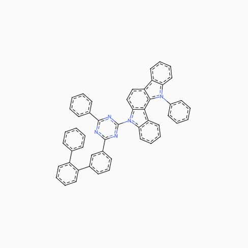 c1ccc(-c2nc(-c3cccc(-c4ccccc4-c4ccccc4)c3)nc(-n3c4ccccc4c4c3ccc3c5ccccc5n(-c5ccccc5)c34)n2)cc1